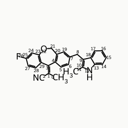 CC(C#N)=C1c2ccc(Cc3c(C)[nH]c4ccccc34)cc2COc2cc(F)ccc21